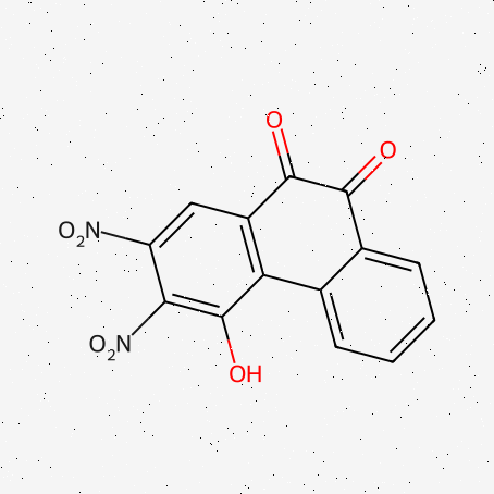 O=C1C(=O)c2cc([N+](=O)[O-])c([N+](=O)[O-])c(O)c2-c2ccccc21